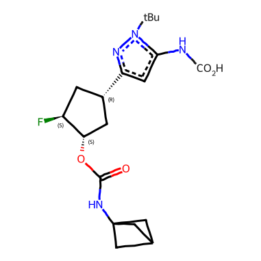 CC(C)(C)n1nc([C@@H]2C[C@H](OC(=O)NC34CC(C3)C4)[C@@H](F)C2)cc1NC(=O)O